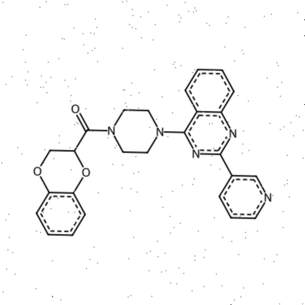 O=C(C1COc2ccccc2O1)N1CCN(c2nc(-c3cccnc3)nc3ccccc23)CC1